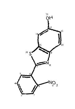 O=[N+]([O-])c1ccccc1-c1nc2ccc(O)cc2s1